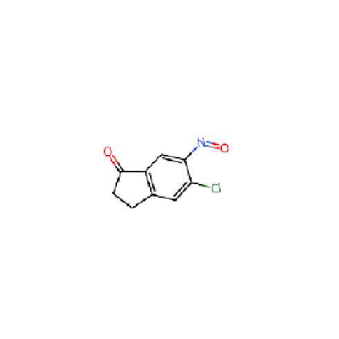 O=Nc1cc2c(cc1Cl)CCC2=O